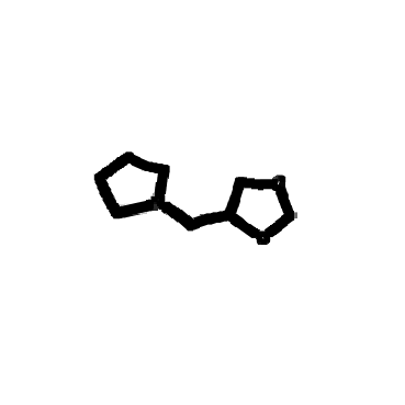 [CH]1OCC(CN2CCCC2)O1